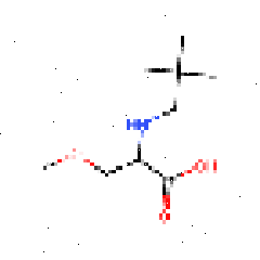 COCC(NCC(C)(C)C)C(=O)O